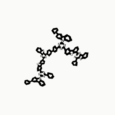 c1ccc(-c2ccc3c(c2)c2ccccc2n3-c2nc(-c3ccccc3)nc(-c3ccc4oc5cc(-c6nc(-c7ccc(-c8ccc(-c9nc(-c%10ccc%11oc%12c(-c%13nc(-c%14ccccc%14)c%14sc%15ccccc%15c%14n%13)cccc%12c%11c%10)nc(-n%10c%11ccccc%11c%11cc(-c%12ccccc%12)ccc%11%10)n9)cc8)cc7)c7sc8ccccc8c7n6)ccc5c4c3)n2)cc1